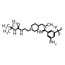 CN(CC1CCN(CCNC(=O)NC(C)(C)C)CC1)C(=N)c1cc(P)cc(C(F)(F)F)c1